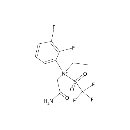 CC[N+](CC(N)=O)(c1cccc(F)c1F)S(=O)(=O)C(F)(F)F